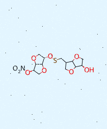 O=[N+]([O-])O[C@@H]1COC2C(OSCC3COC4C3OC[C@H]4O)COC21